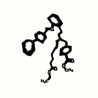 CCOC(=O)CCCCCN(CCc1ccccc1OCc1ccc(-c2ccccc2)cc1)Cc1ccc(C(=O)OC)cc1